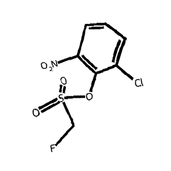 O=[N+]([O-])c1cccc(Cl)c1OS(=O)(=O)CF